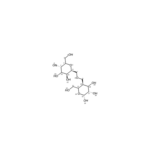 O=N[C@@H]1C(CO)O[C@@H](COC[C@@H]2C(CO)O[C@@H](O)[C@@H](O)C2O)[C@@H](O)C1O